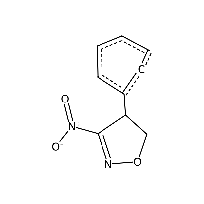 O=[N+]([O-])C1=NOCC1c1ccccc1